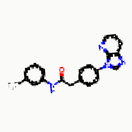 O=C(Cc1ccc(-n2cnc3cccnc32)cc1)Nc1cccc(C(F)(F)F)c1